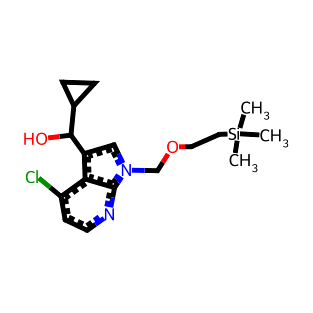 C[Si](C)(C)CCOCn1cc(C(O)C2CC2)c2c(Cl)ccnc21